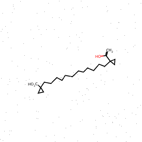 C=C(O)C1(CCCCCCCCCCCCC2(C(=O)O)CC2)CC1